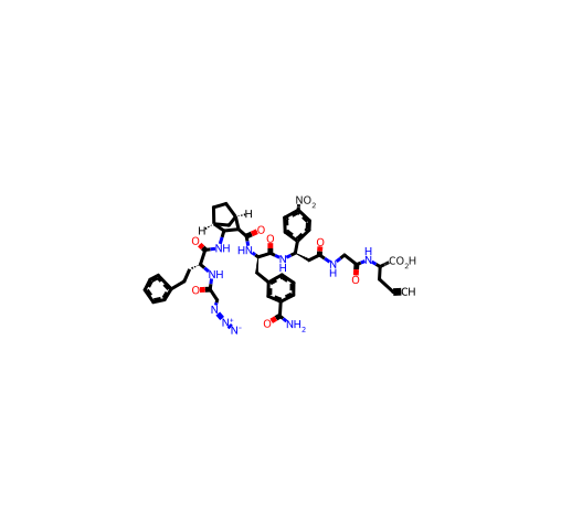 C#CCC(NC(=O)CNC(=O)C[C@@H](NC(=O)[C@@H](Cc1cccc(C(N)=O)c1)NC(=O)C1C(NC(=O)[C@@H](CCc2ccccc2)NC(=O)CN=[N+]=[N-])[C@H]2CC[C@@H]1C2)c1ccc([N+](=O)[O-])cc1)C(=O)O